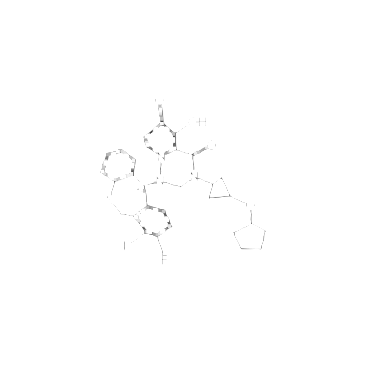 O=C1c2c(O)c(=O)ccn2N([C@@H]2c3ccccc3SCc3c2ccc(F)c3F)CN1C1CC(OC2CCCC2)C1